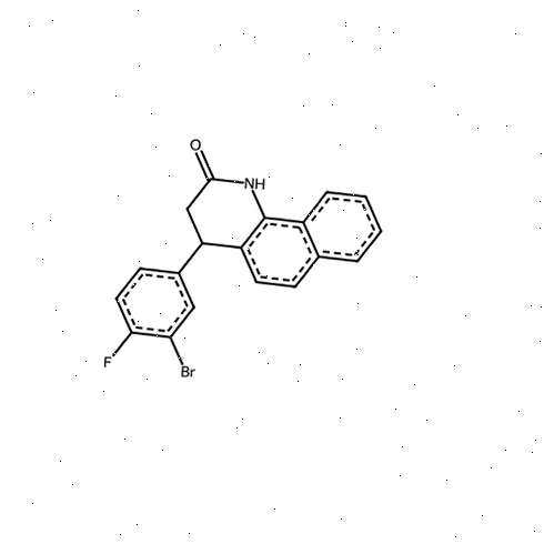 O=C1CC(c2ccc(F)c(Br)c2)c2ccc3ccccc3c2N1